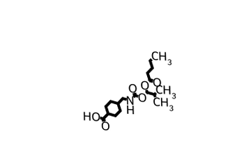 CCCCC(=O)OC(OC(=O)NCC1CCC(C(=O)O)CC1)C(C)C